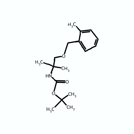 Cc1ccccc1COCC(C)(C)NC(=O)OC(C)(C)C